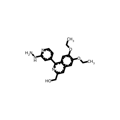 CCOc1cc2cc(CO)nc(-c3ccnc(NN)c3)c2cc1OCC